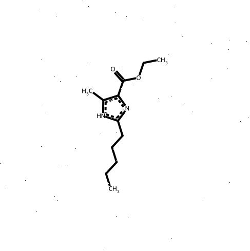 CCCCCc1nc(C(=O)OCC)c(C)[nH]1